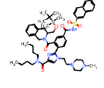 CCCCN(CCCC)C(=O)c1cn(CCN2CCN(C)CC2)c(-c2ccc(C(=O)NS(=O)(=O)c3ccc4ccccc4c3)cc2C(=O)N2Cc3ccccc3CC2CO[Si](C)(C)C(C)(C)C)n1